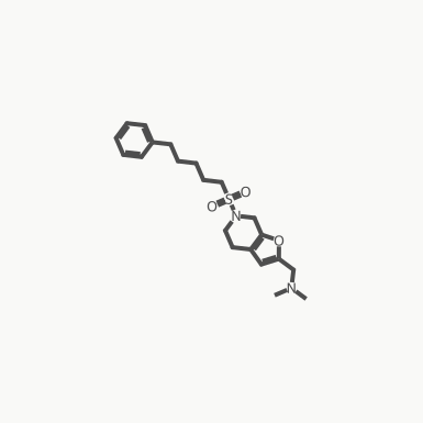 CN(C)Cc1cc2c(o1)CN(S(=O)(=O)CCCCCc1ccccc1)CC2